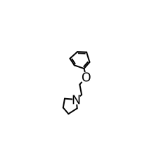 c1ccc(OCCN2CCCC2)cc1